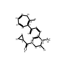 C=C(/C=C\C1=CN(C(=O)C2CC2)CC(C)N1C(C)=O)C1=C(C)CC=CC=C1